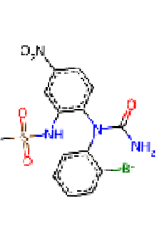 CS(=O)(=O)Nc1cc([N+](=O)[O-])ccc1N(C(N)=O)c1ccccc1Br